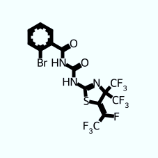 O=C(NC(=O)c1ccccc1Br)NC1=NC(C(F)(F)F)(C(F)(F)F)C(=C(F)C(F)(F)F)S1